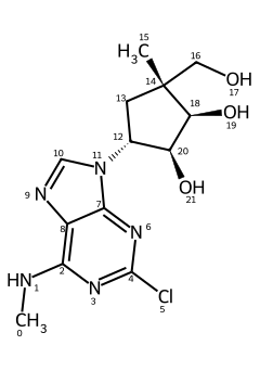 CNc1nc(Cl)nc2c1ncn2[C@@H]1C[C@](C)(CO)[C@@H](O)[C@H]1O